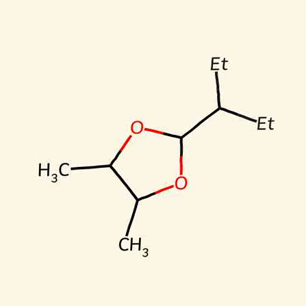 CCC(CC)C1OC(C)C(C)O1